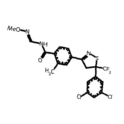 CO/N=C/NC(=O)c1ccc(C2=NSC(c3cc(Cl)cc(Cl)c3)(C(F)(F)F)C2)cc1C